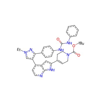 CCn1cc(-c2ccnc3[nH]c(C4=CCN(C(=O)OC(C)(C)C)CC4)cc23)c(-c2ccc(NC(=O)Nc3ccccc3)cc2)n1